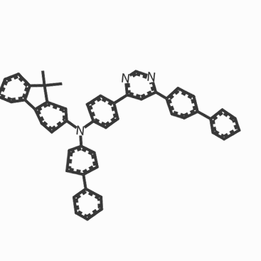 CC1(C)c2ccccc2-c2ccc(N(c3ccc(-c4ccccc4)cc3)c3ccc(-c4cc(-c5ccc(-c6ccccc6)cc5)ncn4)cc3)cc21